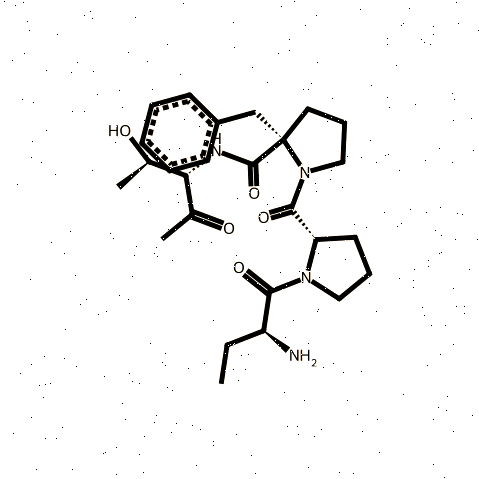 CC[C@H](N)C(=O)N1CCC[C@H]1C(=O)N1CCC[C@]1(Cc1ccccc1)C(=O)N[C@H](C(C)=O)[C@@H](C)O